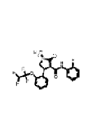 CN1CC(c2ccccc2OC(F)(F)C(F)F)C(C(=O)Nc2ccccc2F)C1=O